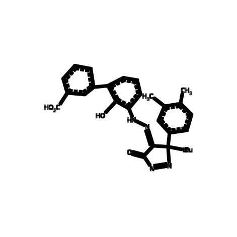 Cc1ccc(C2(C(C)(C)C)N=NC(=O)C2=NNc2cccc(-c3cccc(C(=O)O)c3)c2O)cc1C